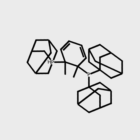 CC1(P(C23CC4CC(CC(C4)C2)C3)C23CC4CC(CC(C4)C2)C3)C=CC=CC1(C)[PH]12CC3CC(CC(C3)C1)C2